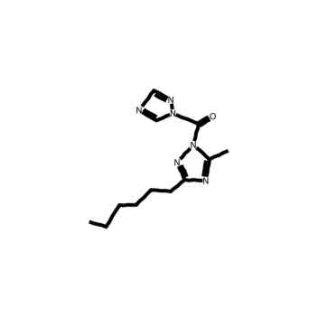 CCCCCCc1nc(C)n(C(=O)n2cncn2)n1